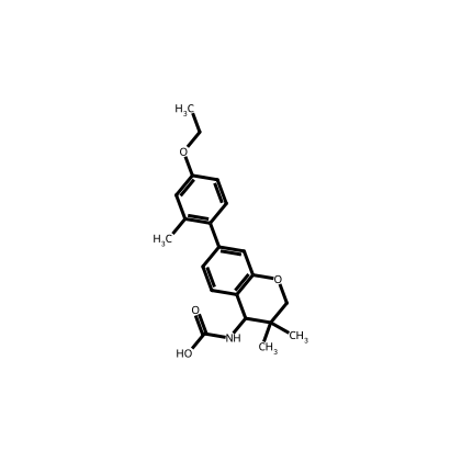 CCOc1ccc(-c2ccc3c(c2)OCC(C)(C)C3NC(=O)O)c(C)c1